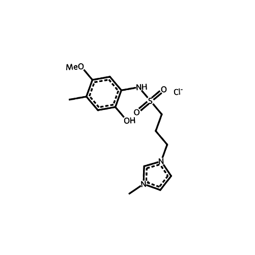 COc1cc(NS(=O)(=O)CCCn2cc[n+](C)c2)c(O)cc1C.[Cl-]